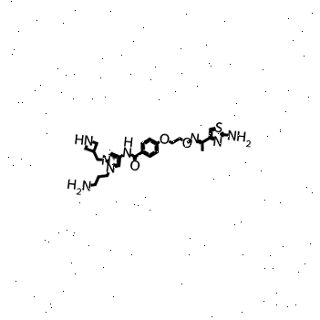 C/C(=N\OCCOc1ccc(C(=O)Nc2cn(CCCN)[n+](CC3CNC3)c2)cc1)c1csc(N)n1